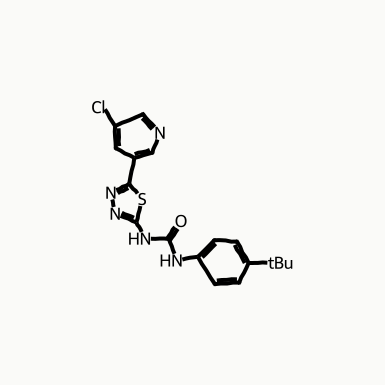 CC(C)(C)c1ccc(NC(=O)Nc2nnc(-c3cncc(Cl)c3)s2)cc1